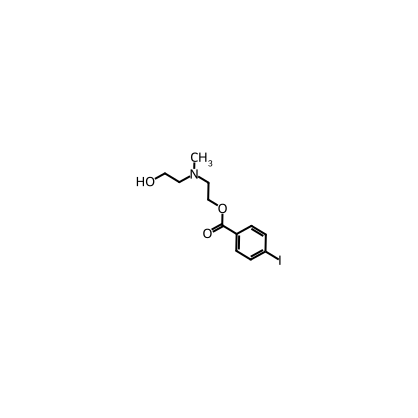 CN(CCO)CCOC(=O)c1ccc(I)cc1